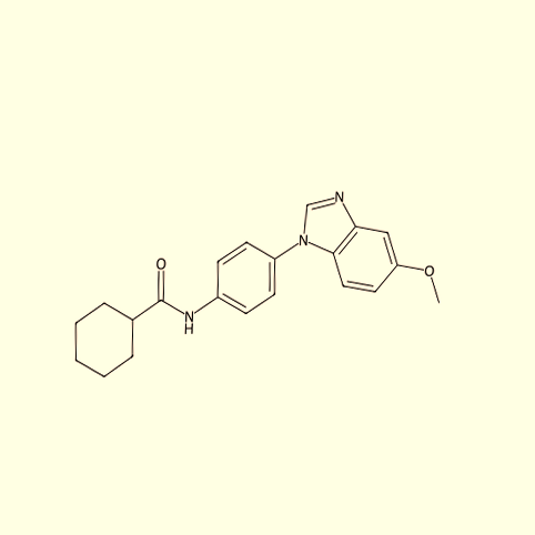 COc1ccc2c(c1)ncn2-c1ccc(NC(=O)C2CCCCC2)cc1